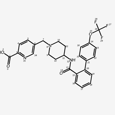 O=C(O)c1ccc(CN2CCC(NC(=O)c3ccccc3-c3ccc(OC(F)(F)F)cc3)CC2)cn1